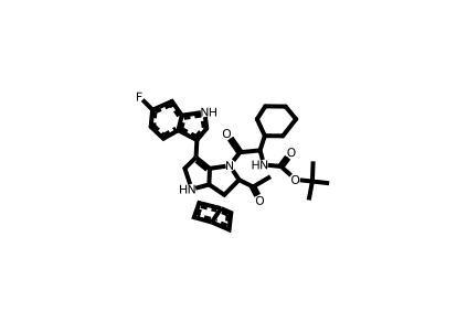 CC(=O)C1CC2NCC(c3c[nH]c4cc(F)ccc34)=C2N1C(=O)C(NC(=O)OC(C)(C)C)C1CCCCC1.c1cc2ccc1-2